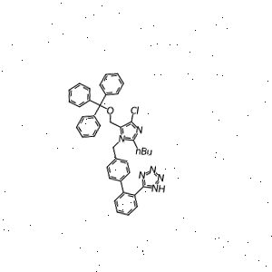 CCCCc1nc(Cl)c(COC(c2ccccc2)(c2ccccc2)c2ccccc2)n1Cc1ccc(-c2ccccc2-c2nnn[nH]2)cc1